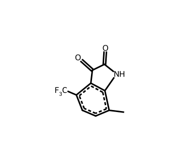 Cc1ccc(C(F)(F)F)c2c1NC(=O)C2=O